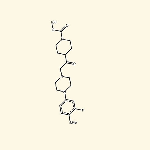 CSc1ccc(N2CCN(CC(=O)C3CCN(C(=O)OC(C)(C)C)CC3)CC2)cc1F